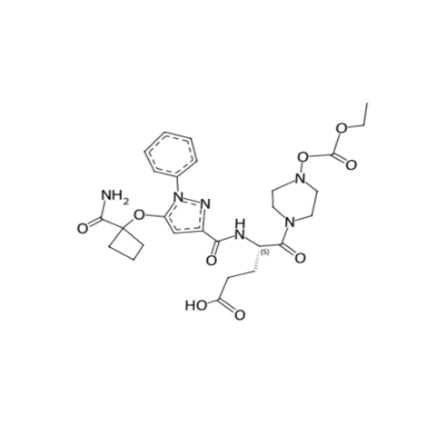 CCOC(=O)ON1CCN(C(=O)[C@H](CCC(=O)O)NC(=O)c2cc(OC3(C(N)=O)CCC3)n(-c3ccccc3)n2)CC1